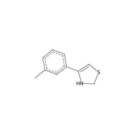 Cc1cccc(C2=CSCN2)c1